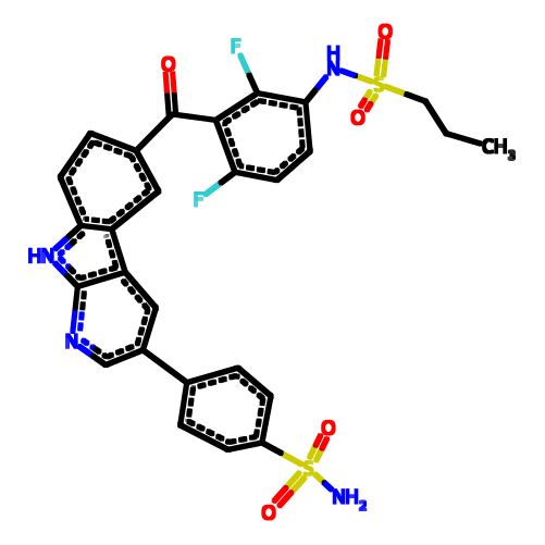 CCCS(=O)(=O)Nc1ccc(F)c(C(=O)c2ccc3[nH]c4ncc(-c5ccc(S(N)(=O)=O)cc5)cc4c3c2)c1F